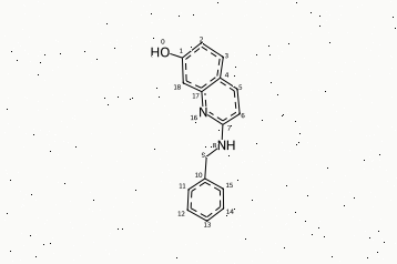 Oc1ccc2ccc(NCc3ccccc3)nc2c1